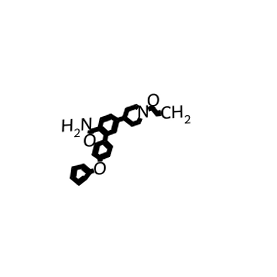 C=CC(=O)N1CCC(c2ccc(C(N)=O)c(-c3ccc(Oc4ccccc4)cc3)c2)CC1